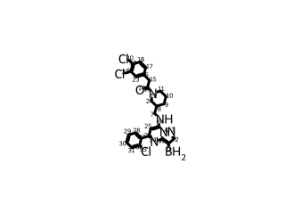 Bc1cnn2c(NCC3CCCN(C(=O)Cc4ccc(Cl)c(Cl)c4)C3)cc(-c3ccccc3Cl)nc12